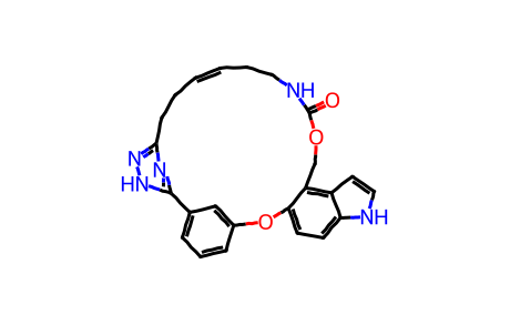 O=C1NCCC=CCCc2n[nH]c(n2)-c2cccc(c2)Oc2ccc3[nH]ccc3c2CO1